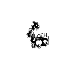 CC1(C)CC23CCCn4cc(c2n4)SNC(=O)c2ccc(-n4ccc(OCCC5(C(F)(F)F)CC5)n4)nc2N1C3